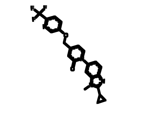 Cn1c(C2CC2)nc2ccc(-n3ccc(COc4ccc(C(F)(F)F)nc4)cc3=O)cc21